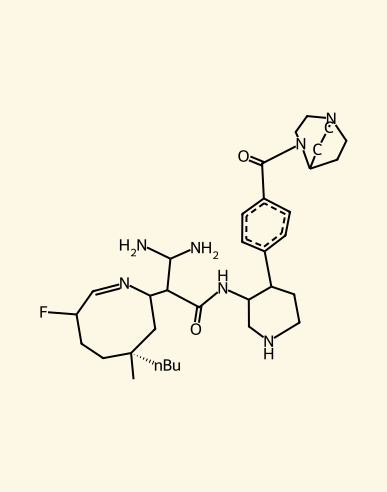 CCCC[C@]1(C)CCC(F)/C=N\C(C(C(=O)NC2CNCCC2c2ccc(C(=O)N3CCN4CCC3CC4)cc2)C(N)N)C1